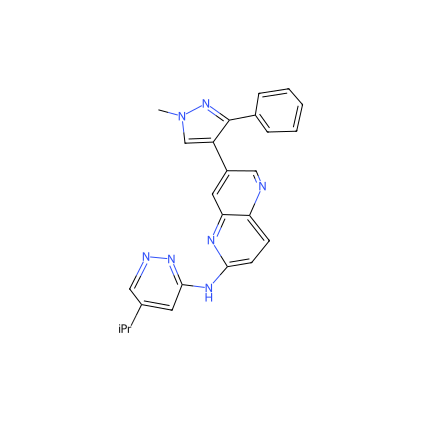 CC(C)c1cnnc(Nc2ccc3ncc(-c4cn(C)nc4-c4ccccc4)cc3n2)c1